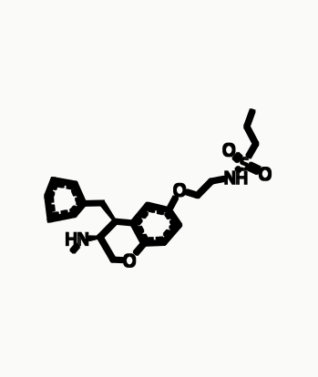 CCCS(=O)(=O)NCCOc1ccc2c(c1)[C@H](Cc1ccccc1)[C@H](NC)CO2